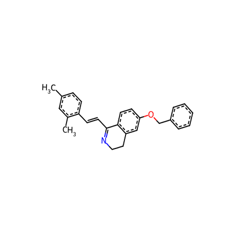 Cc1ccc(/C=C/C2=NCCc3cc(OCc4ccccc4)ccc32)c(C)c1